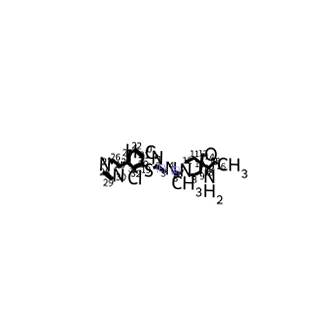 C=N/C(=C\N=C(/C)N1CCC2(CC1)CO[C@@H](C)[C@H]2N)Sc1cccc(-c2cnccn2)c1Cl